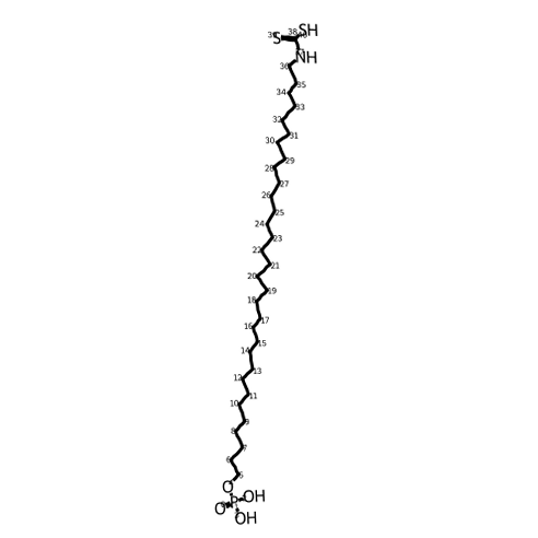 O=P(O)(O)OCCCCCCCCCCCCCCCCCCCCCCCCCCCCCCCCNC(=S)S